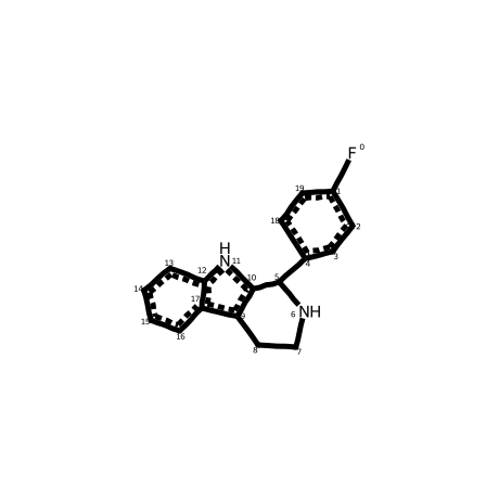 Fc1ccc(C2NCCc3c2[nH]c2ccccc32)cc1